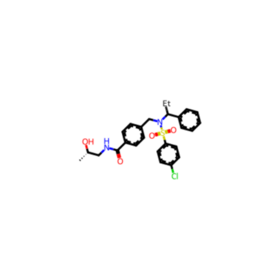 CCC(c1ccccc1)N(Cc1ccc(C(=O)NC[C@H](C)O)cc1)S(=O)(=O)c1ccc(Cl)cc1